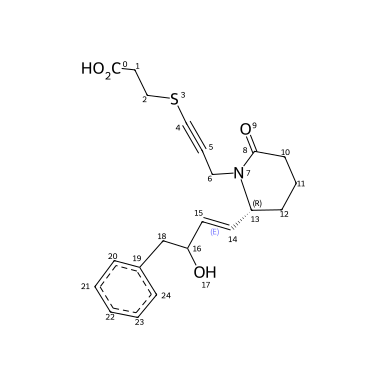 O=C(O)CCSC#CCN1C(=O)CCC[C@@H]1/C=C/C(O)Cc1ccccc1